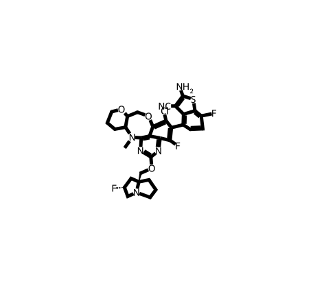 CN1c2nc(OC[C@@]34CCCN3C[C@H](F)C4)nc3c(F)c(-c4ccc(F)c5sc(N)c(C#N)c45)c(Cl)c(c23)OCC2OCCCC21